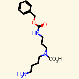 NCCCCN(CCCNC(=O)OCc1ccccc1)C(=O)O